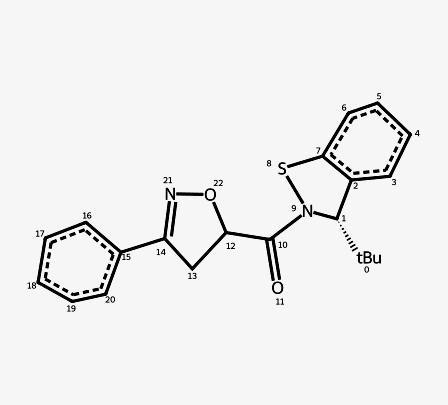 CC(C)(C)[C@H]1c2ccccc2SN1C(=O)C1CC(c2ccccc2)=NO1